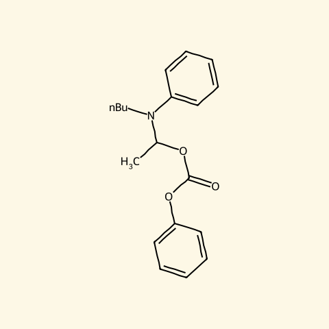 CCCCN(c1ccccc1)C(C)OC(=O)Oc1ccccc1